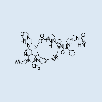 CO[C@@H](C)c1ncc(N2CCN3CCOC[C@@H]3C2)cc1-c1c2c3cc(ccc3n1CC(F)(F)F)-c1csc(n1)C[C@H](NC(=O)C(C1CCCC1)N1CC[C@]3(CCN(C(=O)[C@H]4CN4)C3)C1)C(=O)N1CCC[C@H](N1)C(=O)OCC(C)(C)C2